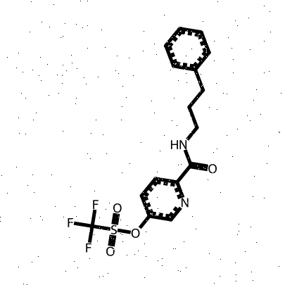 O=C(NCCCc1ccccc1)c1ccc(OS(=O)(=O)C(F)(F)F)cn1